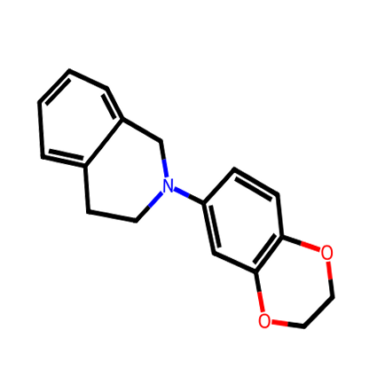 c1ccc2c(c1)CCN(c1ccc3c(c1)OCCO3)C2